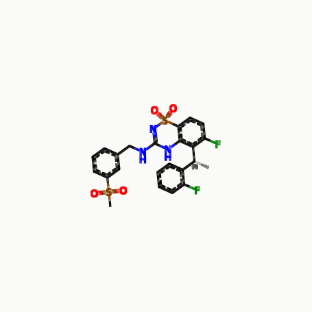 C[C@H](c1ccccc1F)c1c(F)ccc2c1NC(NCc1cccc(S(C)(=O)=O)c1)=NS2(=O)=O